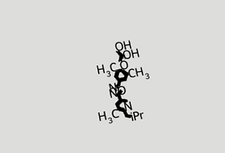 Cc1cc(-c2nnc(-c3cc(C)c(OC[C@@H](O)CO)c(C)c3)o2)cnc1CC(C)C